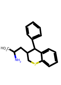 NC(CC1CSc2ccccc2C1c1ccccc1)C(=O)O